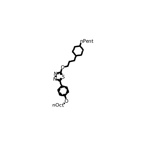 CCCCCCCCOc1ccc(-c2nnc(OCCCC3CCC(CCCCC)CC3)s2)cc1